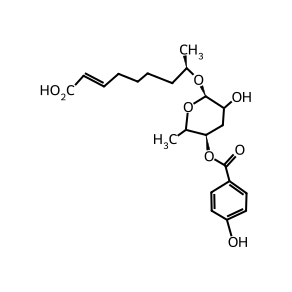 CC1O[C@@H](O[C@H](C)CCCC/C=C/C(=O)O)C(O)C[C@H]1OC(=O)c1ccc(O)cc1